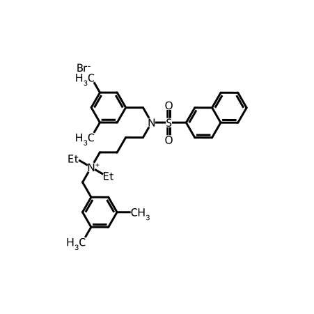 CC[N+](CC)(CCCCN(Cc1cc(C)cc(C)c1)S(=O)(=O)c1ccc2ccccc2c1)Cc1cc(C)cc(C)c1.[Br-]